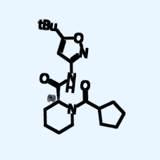 CC(C)(C)c1cc(NC(=O)[C@@H]2CCCCN2C(=O)C2CCCC2)no1